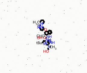 CC1CCCCN1c1nnc2ccc(OC3CCC(NC(=O)NC4=CC(C(C)(C)C)=N[N+]4(CCN(C)CCO)c4cn[nH]c4)c4ccccc43)cn12.O=CO